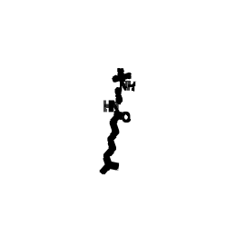 CC(C)CCCCCC(=O)NCCNC(C)(C)C